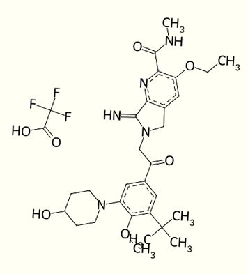 CCOc1cc2c(nc1C(=O)NC)C(=N)N(CC(=O)c1cc(N3CCC(O)CC3)c(OC)c(C(C)(C)C)c1)C2.O=C(O)C(F)(F)F